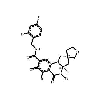 CCN1C(=O)c2c(O)c(=O)c(C(=O)NCc3ccc(F)cc3F)cn2N2C[C@@]3(CCOC3)C[C@@H]12